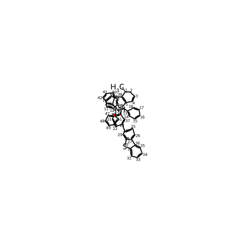 C[C@H]1CC=CC([Si](c2ccccc2)(c2ccccc2)c2cccc(-c3ccc4c(c3)sc3ccccc34)c2)=C1c1ccccc1Nc1ccccc1